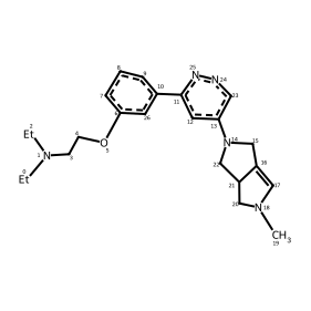 CCN(CC)CCOc1cccc(-c2cc(N3CC4=CN(C)CC4C3)cnn2)c1